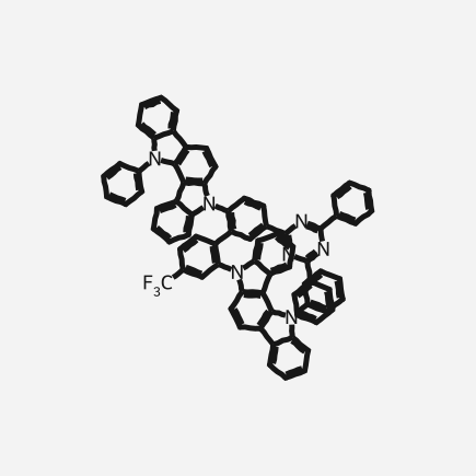 FC(F)(F)c1ccc(-c2cc(-c3nc(-c4ccccc4)nc(-c4ccccc4)n3)ccc2-n2c3ccccc3c3c2ccc2c4ccccc4n(-c4ccccc4)c23)c(-n2c3ccccc3c3c2ccc2c4ccccc4n(-c4ccccc4)c23)c1